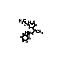 CCCCC(CC)C(C)CNc1ccccc1